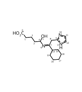 O=C(O)CCCC(O)N=C(Cc1ncc[nH]1)C1CCCCC1